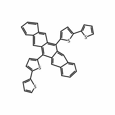 c1csc(-c2ccc(-c3c4cc5ccccc5cc4c(-c4ccc(-c5cccs5)s4)c4cc5ccccc5cc34)s2)c1